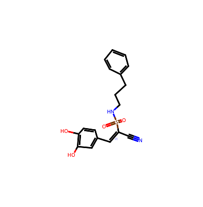 N#C/C(=C/c1ccc(O)c(O)c1)S(=O)(=O)NCCCc1ccccc1